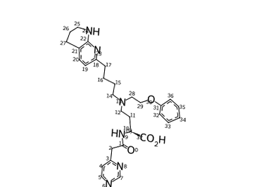 O=C(Cc1ccncn1)N[C@@H](CCN(CCCCc1ccc2c(n1)NCCC2)CCOc1ccccc1)C(=O)O